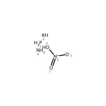 N.O=[N+]([O-])O.P.[KH]